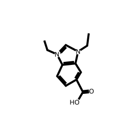 CCn1c[n+](CC)c2ccc(C(=O)O)cc21